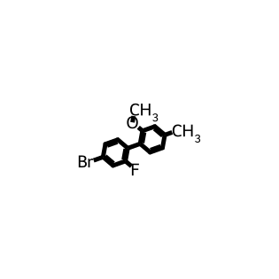 COc1cc(C)ccc1-c1ccc(Br)cc1F